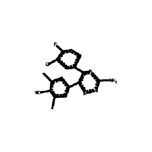 Cc1cc(-c2nnc(N)nc2-c2ccc(F)c(Cl)c2)cc(C)c1C#N